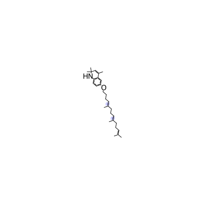 CC(C)=CCC/C(C)=C/CC/C(C)=C/CCCOc1ccc2c(c1)C(C)=CC(C)(C)N2